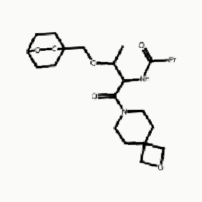 CC(C)C(=O)NC(C(=O)N1CCC2(CC1)COC2)C(C)OCC12CCC(CC1)OC2